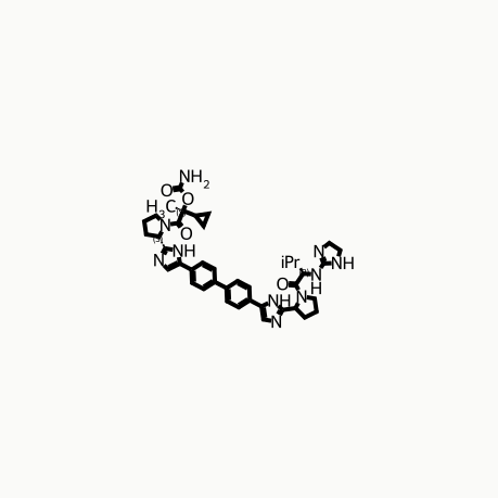 CC(C)[C@@H](NC1=NCCN1)C(=O)N1CCCC1c1ncc(-c2ccc(-c3ccc(-c4cnc([C@@H]5CCCN5C(=O)[C@@](C)(OC(N)=O)C5CC5)[nH]4)cc3)cc2)[nH]1